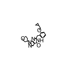 O=c1[nH]c(Cc2ccccc2OCC2CC2)nc2c1cnn2C1CCOCC1